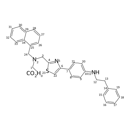 O=C(O)CN(Cc1nc(-c2ccc(NCCc3ccccc3)cc2)cs1)Cc1cccc2ccccc12